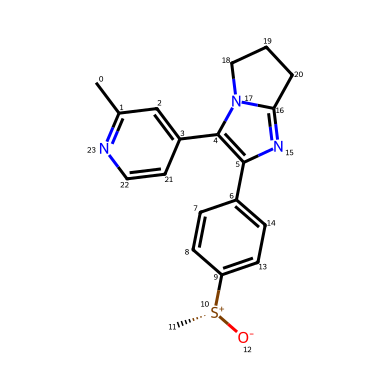 Cc1cc(-c2c(-c3ccc([S@@+](C)[O-])cc3)nc3n2CCC3)ccn1